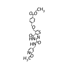 CCOC(=O)c1ccc(COCc2csc3nc(C(=O)NCc4ccnc(OC)c4)[nH]c(=O)c23)cc1